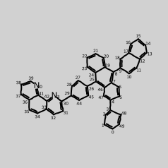 c1ccc(-c2ccc3c(-c4ccc5ccccc5c4)c4ccccc4c(-c4ccc(-c5ccc6ccc7cccnc7c6n5)cc4)c3c2)cc1